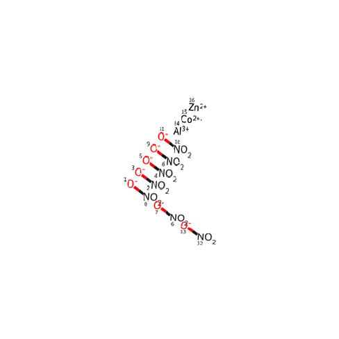 O=[N+]([O-])[O-].O=[N+]([O-])[O-].O=[N+]([O-])[O-].O=[N+]([O-])[O-].O=[N+]([O-])[O-].O=[N+]([O-])[O-].O=[N+]([O-])[O-].[Al+3].[Co+2].[Zn+2]